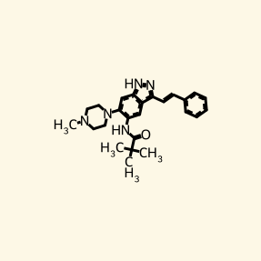 CN1CCN(c2cc3[nH]nc(C=Cc4ccccc4)c3cc2NC(=O)C(C)(C)C)CC1